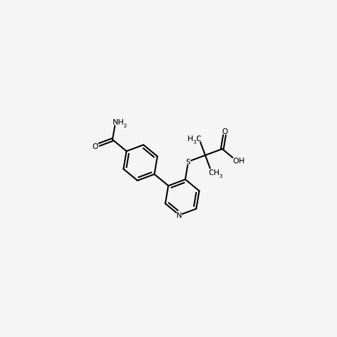 CC(C)(Sc1ccncc1-c1ccc(C(N)=O)cc1)C(=O)O